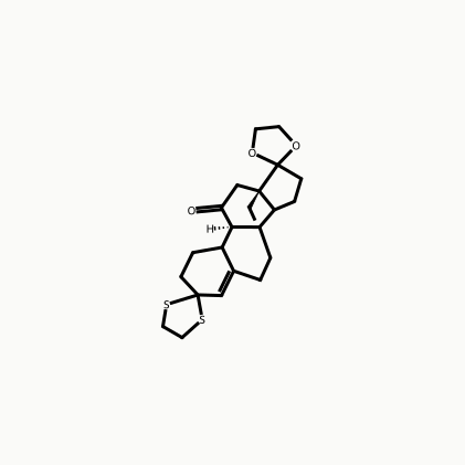 CC[C@]12CC(=O)[C@@H]3C4CCC5(C=C4CCC3C1CCC21OCCO1)SCCS5